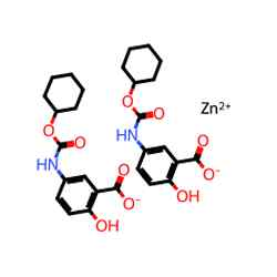 O=C(Nc1ccc(O)c(C(=O)[O-])c1)OC1CCCCC1.O=C(Nc1ccc(O)c(C(=O)[O-])c1)OC1CCCCC1.[Zn+2]